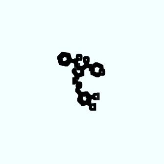 O=C(C1CC(=NOCc2ccc(Cl)c(Cl)c2)CN1C(=O)c1ccccc1)N1CCOCC1